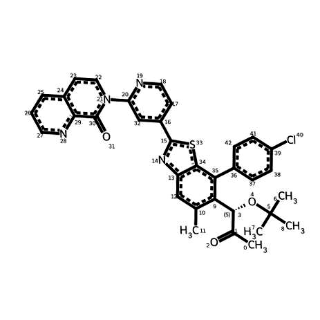 CC(=O)[C@@H](OC(C)(C)C)c1c(C)cc2nc(-c3ccnc(-n4ccc5cccnc5c4=O)c3)sc2c1-c1ccc(Cl)cc1